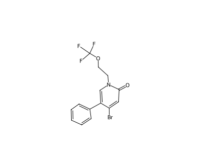 O=c1cc(Br)c(-c2ccccc2)cn1CCOC(F)(F)F